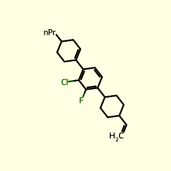 C=CC1CCC(c2ccc(C3=CCC(CCC)CC3)c(Cl)c2F)CC1